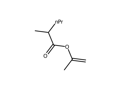 C=C(C)OC(=O)C(C)CCC